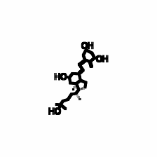 C=C1/C(=C\C=C2/C[C@H](O)C[C@@]3(C)C2CC[C@@H]3[C@H](C)CCCC(C)(C)O)C[C@@H](O)CC1O